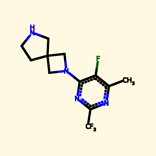 Cc1nc(C(F)(F)F)nc(N2CC3(CCNC3)C2)c1F